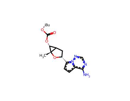 CC[C@@H](C)OC(=O)O[C@@H]1C2C[C@H](c3ccc4c(N)ncnn34)O[C@@]21C